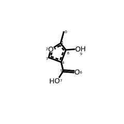 Cc1occ(C(=O)O)c1O